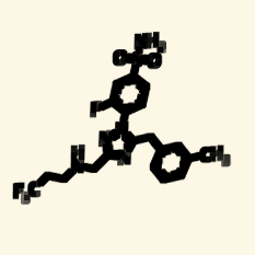 Cc1cccc(Cc2nc(CNCCC(F)(F)F)nn2-c2ccc(S(N)(=O)=O)cc2F)c1